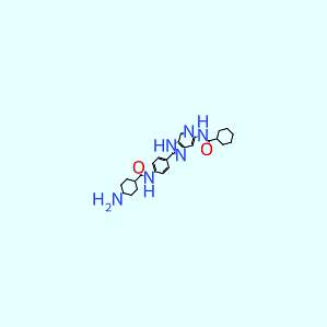 NC1CCC(C(=O)Nc2ccc(-c3nc4cc(NC(=O)C5CCCCC5)ncc4[nH]3)cc2)CC1